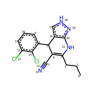 CCCC1=C(C#N)C(c2cccc(Cl)c2Cl)c2c[nH]nc2N1